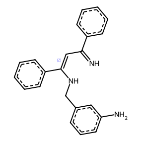 N=C(/C=C(\NCc1cccc(N)c1)c1ccccc1)c1ccccc1